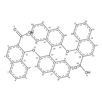 O=C(O)c1ccc2ccccc2c1Oc1ccc2ccccc2c1-c1c(Oc2c(C(=O)O)ccc3ccccc23)ccc2ccccc12